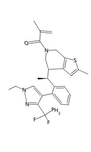 C=C(C)C(=O)N1Cc2sc(C)cc2C([C@H](C)c2ccccc2-c2cn(CC)nc2C(F)(F)P)C1